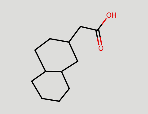 O=C(O)CC1CCC2CCCCC2C1